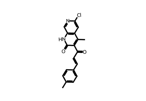 Cc1ccc(/C=C/C(=O)c2c(C)c3cc(Cl)ncc3[nH]c2=O)cc1